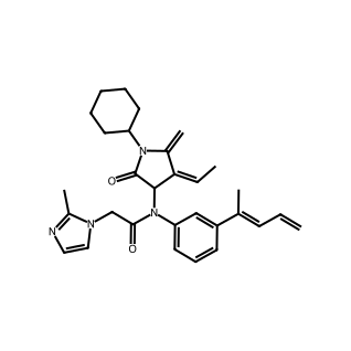 C=C/C=C(\C)c1cccc(N(C(=O)Cn2ccnc2C)C2C(=O)N(C3CCCCC3)C(=C)/C2=C\C)c1